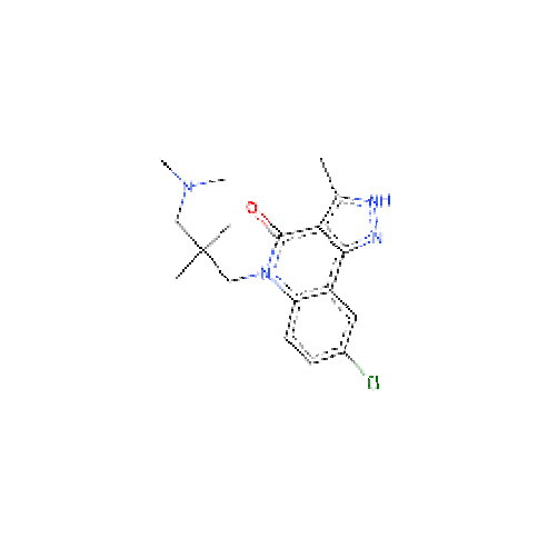 Cc1[nH]nc2c1c(=O)n(CC(C)(C)CN(C)C)c1ccc(Cl)cc21